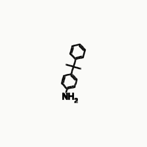 CC(C)(c1ccccc1)c1ccc(N)cc1